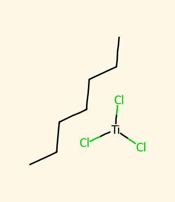 CCCCCCC.[Cl][Ti]([Cl])[Cl]